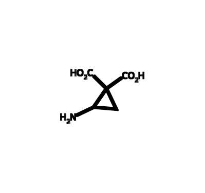 NC1CC1(C(=O)O)C(=O)O